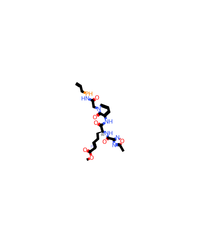 C=CCPNC(=O)Cn1cccc(NC(=O)[C@H](CC/C=C/C(=O)OC)NC(=O)c2noc(C)n2)c1=O